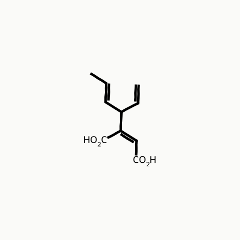 C=CC(C=CC)/C(=C/C(=O)O)C(=O)O